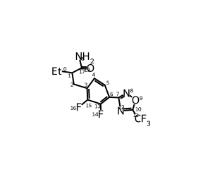 CCC(Cc1ccc(-c2noc(C(F)(F)F)n2)c(F)c1F)C(N)=O